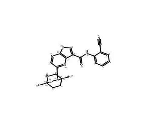 N#Cc1ccccc1NC(=O)c1csc2ncc(N3C[C@@H]4CC[C@H]3CN4)nc12